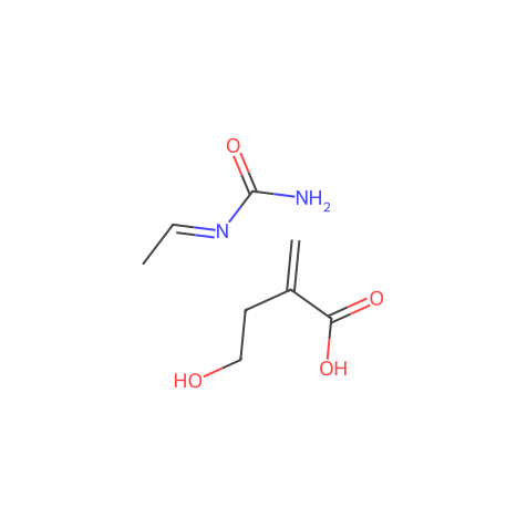 C=C(CCO)C(=O)O.CC=NC(N)=O